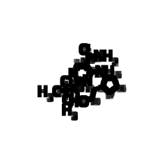 CC(C)(C)Nc1ncc(C(N)=O)c(N[C@@H]2CCC[C@H]2CCO)n1